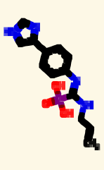 C=CCNC(=Nc1ccc(-c2c[nH]cn2)cc1)P(=O)(O)O